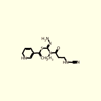 C=C(S/C(=N\N)N(C)C(=O)CCNC#N)C1=CNCC=C1